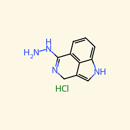 Cl.NNC1=NCc2c[nH]c3cccc1c23